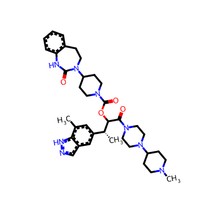 Cc1cc([C@@H](C)C(OC(=O)N2CCC(N3CCc4ccccc4NC3=O)CC2)C(=O)N2CCN(C3CCN(C)CC3)CC2)cc2cn[nH]c12